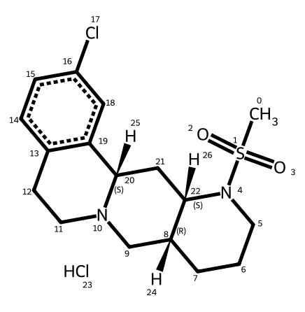 CS(=O)(=O)N1CCC[C@@H]2CN3CCc4ccc(Cl)cc4[C@@H]3C[C@@H]21.Cl